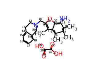 Cc1c(C)c(C)c2c(C)c(CN3CCc4ccccc4C3)oc2c1N.O=C(O)C(=O)O